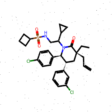 C=CC[C@@]1(CC)C[C@H](c2cccc(Cl)c2)[C@@H](c2ccc(Cl)cc2)N(C(CNS(=O)(=O)C2CCC2)C2CC2)C1=O